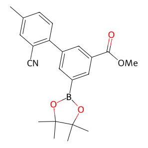 COC(=O)c1cc(B2OC(C)(C)C(C)(C)O2)cc(-c2ccc(C)cc2C#N)c1